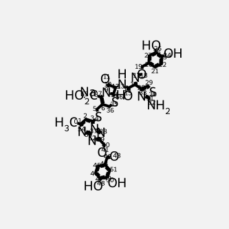 Cc1cc(SCC2=C(C(=O)O)N3C(=O)[C@@H](NC(=O)C(=NOCc4ccc(O)c(O)c4)c4csc(N)n4)[C@H]3SC2)n2nc(COC(=O)c3ccc(O)c(O)c3)nc2n1.[Na]